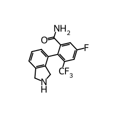 NC(=O)c1cc(F)cc(C(F)(F)F)c1-c1cccc2c1CNC2